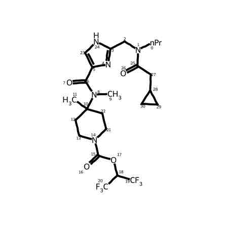 CCCN(Cc1nc(C(=O)N(C)C2(C)CCN(C(=O)OC(C(F)(F)F)C(F)(F)F)CC2)c[nH]1)C(=O)CC1CC1